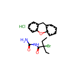 CCC(Br)(CC)C(=O)NC(N)=O.Cl.c1ccc2c(c1)Cc1ccccc1O2